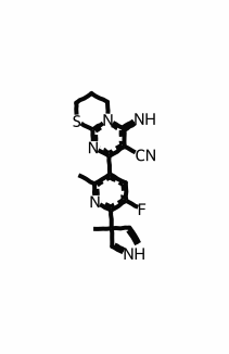 C=CC(C)(C=N)c1nc(C)c(-c2nc3n(c(=N)c2C#N)CCCS3)cc1F